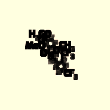 COc1c(S(C)(=O)=O)ccc(O[C@@H](C)C(F)(F)F)c1C(=O)N1CC(c2ccc(C(F)(F)F)cc2F)C1